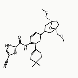 COC[C@@]12CC[C@@](COC)(C[C@@H](C3C=CC(NC(=O)c4nc(C#N)c[nH]4)=C(C4=CCC(C)(C)CC4)C3)C1)O2